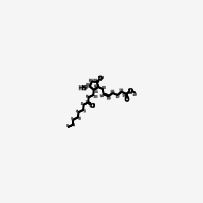 CCCCCCCC(=O)CCC1C(C/C=C\CCCC(=O)OC)C(=O)C[C@H]1S